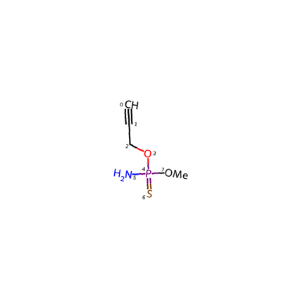 C#CCOP(N)(=S)OC